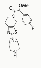 COC(C(=O)N1CCc2nc(N3C4CCC3CNC4)sc2C1)c1ccc(F)cc1